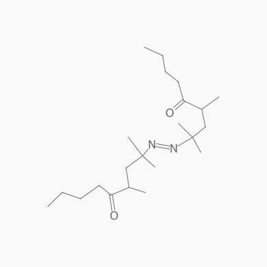 CCCCC(=O)C(C)CC(C)(C)N=NC(C)(C)CC(C)C(=O)CCCC